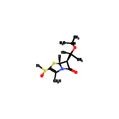 CC[S+]([O-])C1=C(C(=O)O)N2C(=O)[C@H](C(C)(O[SiH](C)C)C(C)(C)C)[C@H]2S1